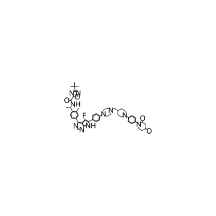 Cc1cc(-c2ncnc3[nH]c(-c4ccc(N5CCN(CC6CCN(c7ccc(N8CCC(=O)CC8=O)cc7)CC6)CC5)cc4)c(F)c23)ccc1[C@@H](C)NC(=O)c1nc(C(C)(C)C)no1